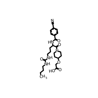 CCCCNC(=O)NCCCC(NC(=O)c1ccc(C#N)cc1)C(=O)N1CCC(OCC(=O)O)CC1